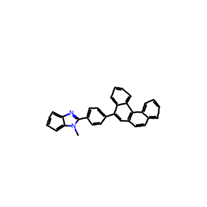 Cn1c(-c2ccc(-c3cc4ccc5ccccc5c4c4ccccc34)cc2)nc2ccccc21